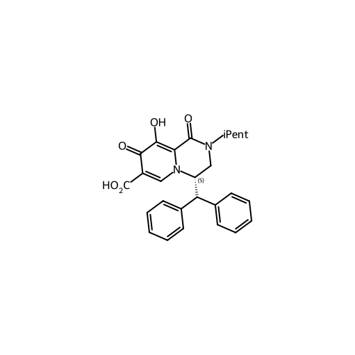 CCCC(C)N1C[C@H](C(c2ccccc2)c2ccccc2)n2cc(C(=O)O)c(=O)c(O)c2C1=O